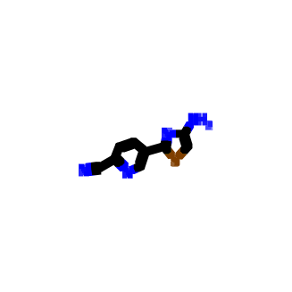 N#Cc1ccc(-c2nc(N)cs2)cn1